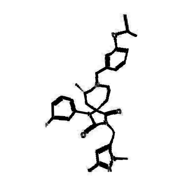 Cc1cc(CN2C(=O)N(c3cccc(F)c3)[C@@]3(CCN(Cc4cccc(OC(C)C)c4)[C@@H](C)C3)C2=O)n(C)n1